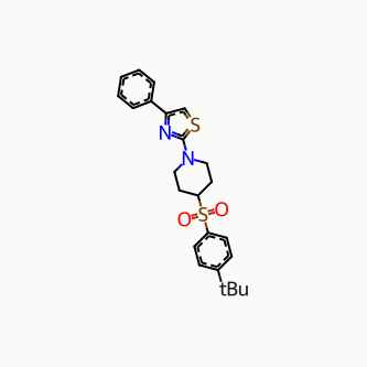 CC(C)(C)c1ccc(S(=O)(=O)C2CCN(c3nc(-c4ccccc4)cs3)CC2)cc1